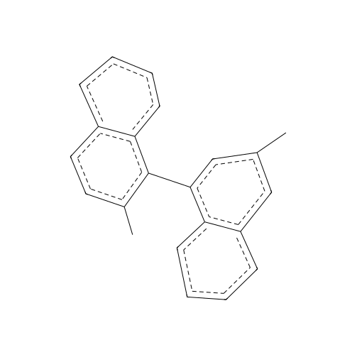 Cc1cc(-c2c(C)ccc3ccccc23)c2ccccc2c1